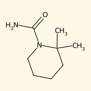 CC1(C)CCCCN1C(N)=O